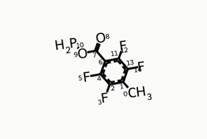 Cc1c(F)c(F)c(C(=O)OP)c(F)c1F